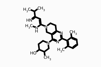 CN/C(=C\C(=N)C(C)C)N1CCc2nc(-c3c(C)cccc3C)nc(N3CCC(O)C(C)C3)c2C1